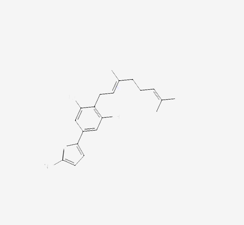 CC(C)=CCC/C(C)=C/Cc1c(O)cc(-c2ccc(C#N)s2)cc1O